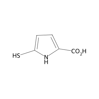 O=C(O)c1ccc(S)[nH]1